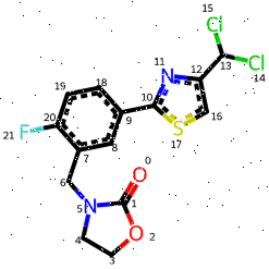 O=C1OCCN1Cc1cc(-c2nc(C(Cl)Cl)cs2)ccc1F